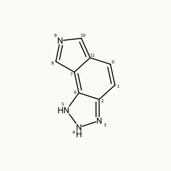 c1cc2n[nH][nH]c2c2cncc12